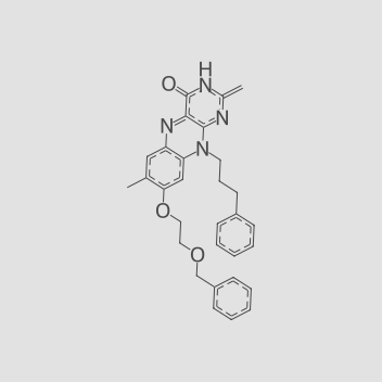 C=c1nc2c(c(=O)[nH]1)=Nc1cc(C)c(OCCOCc3ccccc3)cc1N2CCCc1ccccc1